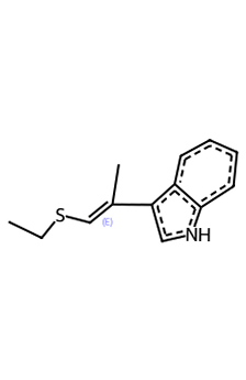 CCS/C=C(\C)c1c[nH]c2ccccc12